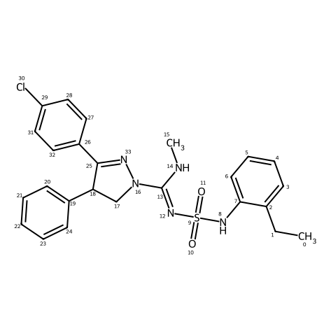 CCc1ccccc1NS(=O)(=O)N=C(NC)N1CC(c2ccccc2)C(c2ccc(Cl)cc2)=N1